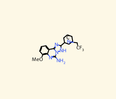 COc1cccc2c1N=C(N)N1NC(C3CC4CCC3N(CC(F)(F)F)C4)N=C21